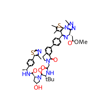 COC(=O)C[C@@H]1N=C(c2ccc(-c3ccc4c(c3)C(=O)N(CC(=O)NC(C(=O)N3C[C@H](O)C[C@H]3C(=O)N[C@@H](C)c3ccc(-c5scnc5C)cc3)C(C)(C)C)CC4)cc2)c2c(sc(C)c2C)-n2c(C)nnc21